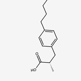 C[C@@H](Cc1ccc(CCCN)cc1)C(=O)O